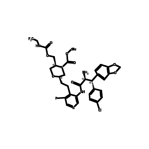 CC(C)(C)OC(=O)N1C[C@@H](CCc2c(F)cncc2NC(=O)[C@@H](N)[C@@H](c2ccc(Cl)cc2)c2ccc3c(c2)OCO3)OC[C@H]1COC(=O)NCC(F)(F)F